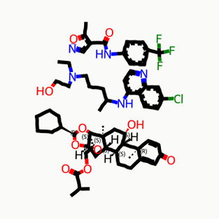 CC(C)C(=O)OCC(=O)[C@@]12O[C@H](C3CCCCC3)O[C@@H]1C[C@H]1[C@@H]3CCC4=CC(=O)C=C[C@]4(C)[C@H]3[C@@H](O)C[C@@]12C.CCN(CCO)CCCC(C)Nc1ccnc2cc(Cl)ccc12.Cc1oncc1C(=O)Nc1ccc(C(F)(F)F)cc1